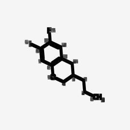 CCCC1COc2cc(I)c(F)cc2C1